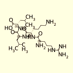 CC(C)C[C@H](NC(=O)[C@H](CC(C)C)NC(=O)[C@H](CCCCN)NC(=O)[C@@H](N)CCCNC(=N)N)C(=O)O